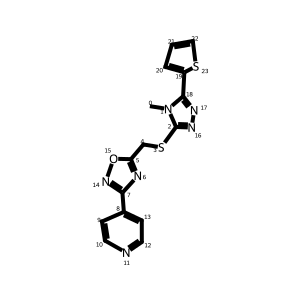 Cn1c(SCc2nc(-c3ccncc3)no2)nnc1-c1cccs1